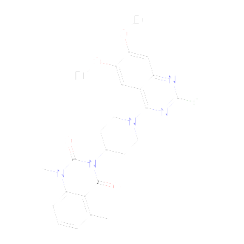 CCOc1cc2nc(Cl)nc(N3CCC(n4c(=O)c5c(C)cccc5n(C)c4=O)CC3)c2cc1OCC